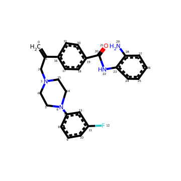 C=C(CN1CCN(c2cccc(F)c2)CC1)c1ccc(C(=O)Nc2ccccc2N)cc1